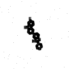 Fc1ccc2c3c([nH]c2c1)CCN(C1=CC2NC(N4CCOCC4)=NN2C=C1)C3